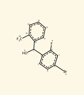 OC(c1ccc(Br)cc1F)c1ccccc1C(F)(F)F